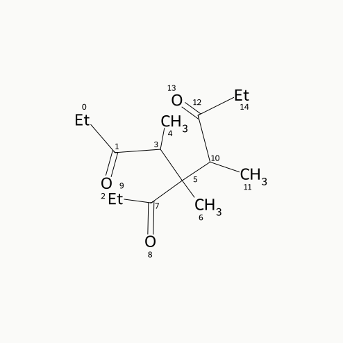 CCC(=O)C(C)C(C)(C(=O)CC)C(C)C(=O)CC